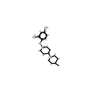 CC1CCN(C2CCN(Sc3ccc(Cl)cc3Cl)CC2)CC1